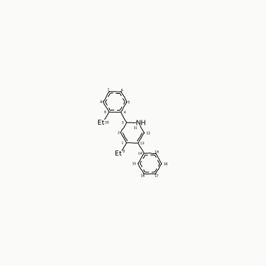 CCC1=CC(c2ccccc2CC)NC=C1c1ccccc1